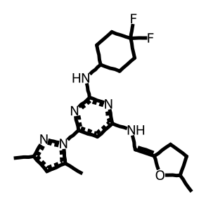 Cc1cc(C)n(-c2cc(N/C=C3\CCC(C)O3)nc(NC3CCC(F)(F)CC3)n2)n1